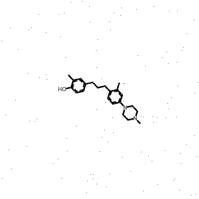 Cc1cc(CCCc2ccc(N3CCN(C)CC3)cc2C)ccc1O